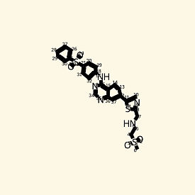 CS(=O)(=O)CCNCc1ncc(-c2ccc3c(Nc4ccc(S(=O)(=O)c5ccccc5)cc4)ncnc3c2)s1